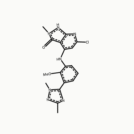 COc1c(Nc2cc(Cl)nc3[nH]n(C)c(=O)c23)cccc1-c1nc(C)nn1C